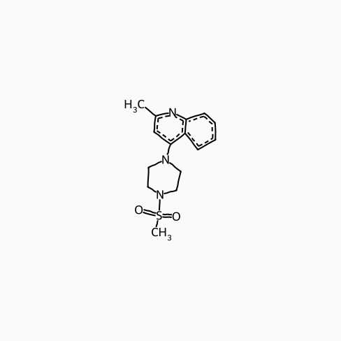 Cc1cc(N2CCN(S(C)(=O)=O)CC2)c2ccccc2n1